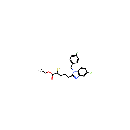 CCOC(=O)C(S)CCCc1nc2cc(F)ccc2n1Cc1ccc(Cl)cc1